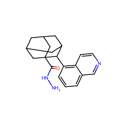 NNC(=O)C12CC3CC(CC(C3)C1c1cccc3cnccc13)C2